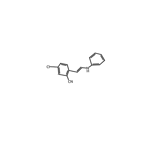 N#Cc1[c]c(Cl)ccc1C=CNc1ccccc1